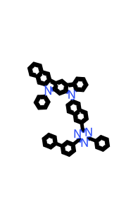 c1ccc(-c2cccc(-c3nc(-c4ccccc4)nc(-c4ccc5cc(-n6c7ccccc7c7cc8c9cc%10ccccc%10cc9n(-c9ccccc9)c8cc76)ccc5c4)n3)c2)cc1